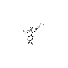 C/C=C/CCC(C1CC=C(C)CC1)N(C)C